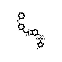 Cn1cnc(S(=O)(=O)Nc2ccc3nc(Cc4ccc(Oc5ccccc5)cc4)[nH]c3c2)c1